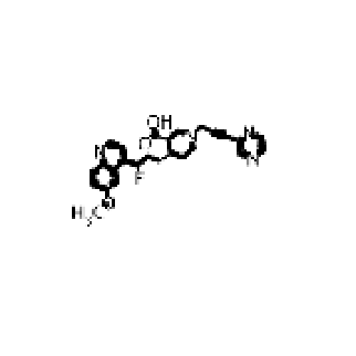 COc1ccc2nccc([C@@H](F)CC[C@@H]3CCN(CC#Cc4cnccn4)C[C@@H]3C(=O)O)c2c1